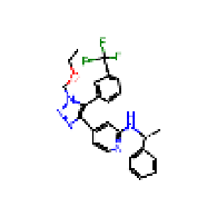 CCOCn1nnc(-c2ccnc(N[C@@H](C)c3ccccc3)c2)c1-c1cccc(C(F)(F)F)c1